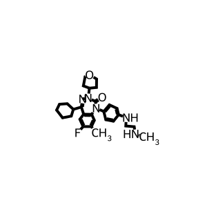 CNCCNc1ccc(N2C(=O)N(C3CCOCC3)N=C(C3CCCCC3)c3cc(F)c(C)cc32)cc1